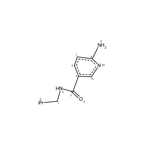 CC(C)CNC(=O)c1ccc(N)nc1